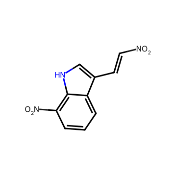 O=[N+]([O-])/C=C/c1c[nH]c2c([N+](=O)[O-])cccc12